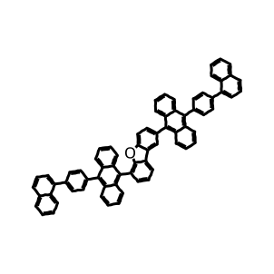 c1ccc2c(-c3ccc(-c4c5ccccc5c(-c5ccc6oc7c(-c8c9ccccc9c(-c9ccc(-c%10cccc%11ccccc%10%11)cc9)c9ccccc89)cccc7c6c5)c5ccccc45)cc3)cccc2c1